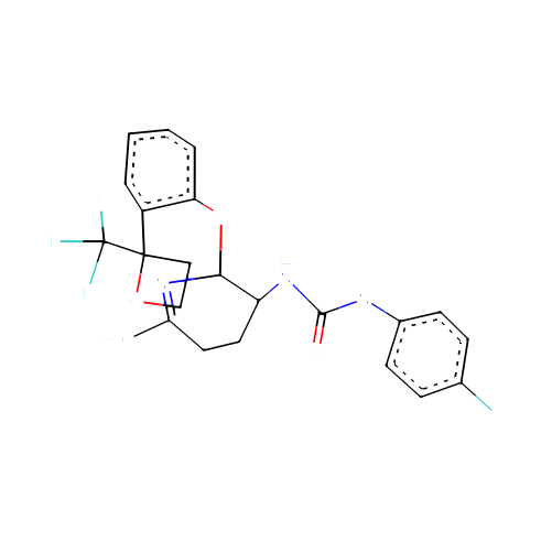 CC1=NC(Oc2ccccc2C2(C(F)(F)F)CCO2)C(NC(=O)Nc2ccc(F)cc2)CC1